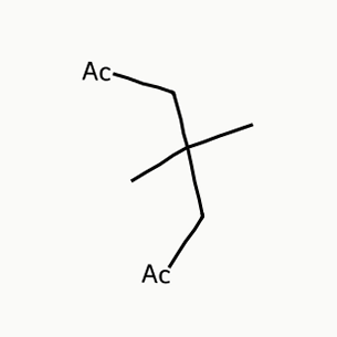 CC(=O)CC(C)(C)CC(C)=O